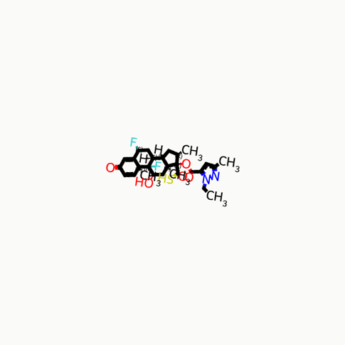 CCn1nc(C)cc1C(=O)O[C@]1(C(=O)S)[C@H](C)C[C@H]2[C@@H]3C[C@H](F)C4=CC(=O)C=C[C@]4(C)[C@@]3(F)[C@@H](O)C[C@@]21C